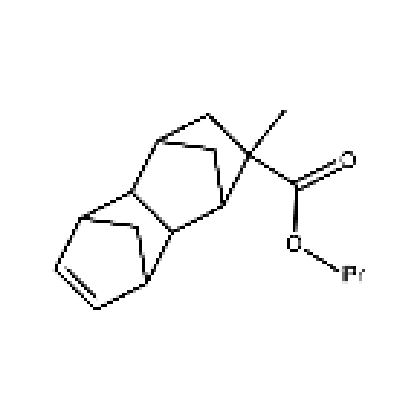 CC(C)OC(=O)C1(C)CC2CC1C1C3C=CC(C3)C21